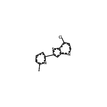 Cc1cccc(-c2cc3nccc(Cl)c3s2)n1